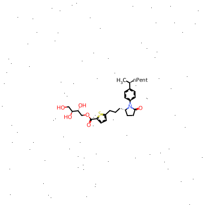 CCCCC[C@H](C)c1ccc(N2C(=O)CC[C@@H]2CCCc2ccc(C(=O)OC[C@@H](O)[C@@H](O)CO)s2)cc1